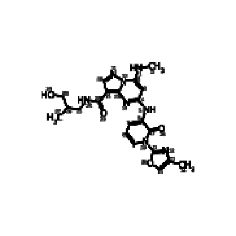 CNc1cc(Nc2cccn(-c3nc(C)co3)c2=O)nc2c(C(=O)NCC(C)CO)cnn12